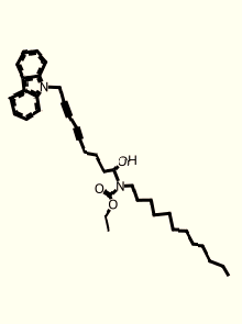 CCCCCCCCCCCCN(C(=O)OCC)C(O)CCCC#CC#CCn1c2ccccc2c2ccccc21